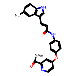 CNC(=O)c1cc(Oc2ccc(NC(=O)/C=C/c3c[nH]c4ccc(C#N)cc34)cc2)ccn1